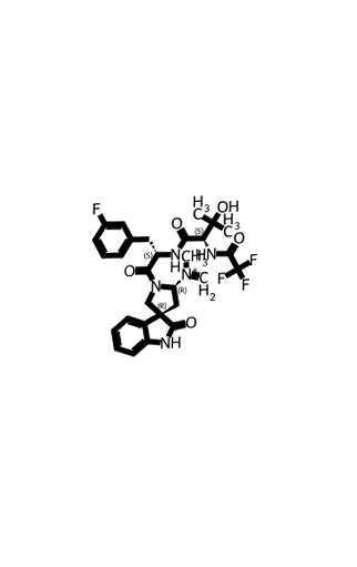 C=[N+](C)[C@@H]1C[C@@]2(CN1C(=O)[C@H](Cc1cccc(F)c1)NC(=O)[C@@H](NC(=O)C(F)(F)F)C(C)(C)O)C(=O)Nc1ccccc12